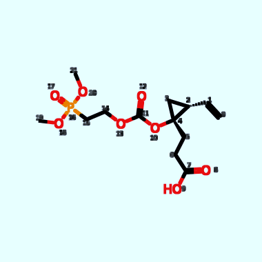 C=C[C@H]1C[C@@]1(CCC(=O)O)OC(=O)OCCP(=O)(OC)OC